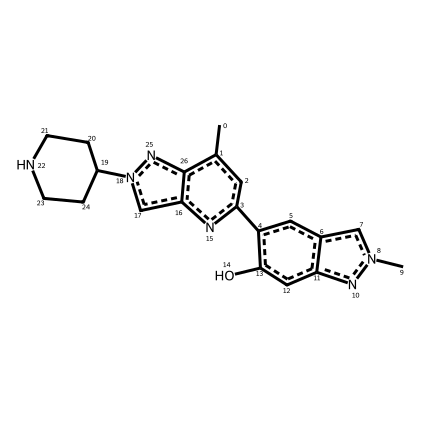 Cc1cc(-c2cc3cn(C)nc3cc2O)nc2cn(C3CCNCC3)nc12